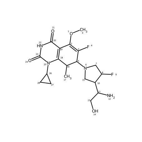 COC1=C(F)C(N2CC(F)C(C(N)CO)C2)C(C)c2c1c(=O)[nH]c(=O)n2C1CC1